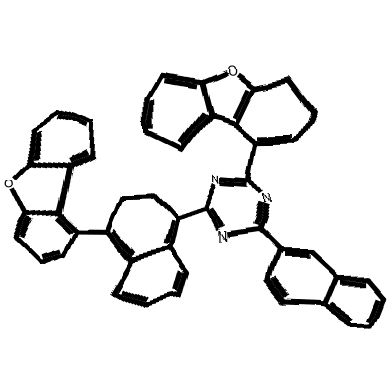 C1=C(c2nc(C3=c4ccccc4=C(c4cccc5oc6ccccc6c45)CC3)nc(-c3ccc4ccccc4c3)n2)c2c(oc3ccccc23)CC1